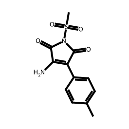 Cc1ccc(C2=C(N)C(=O)N(S(C)(=O)=O)C2=O)cc1